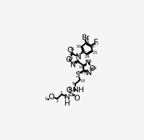 COCCNS(=O)(=O)NCCSc1nonc1-c1noc(=O)n1-c1ccc(F)c(Br)c1